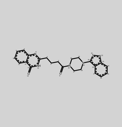 O=C(CCCc1nc2ccccc2c(=O)[nH]1)N1CCN(c2snc3ccccc23)CC1